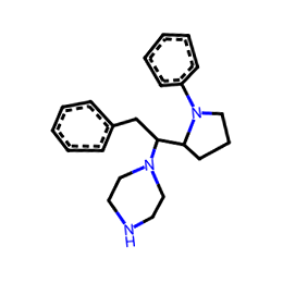 c1ccc(CC(C2CCCN2c2ccccc2)N2CCNCC2)cc1